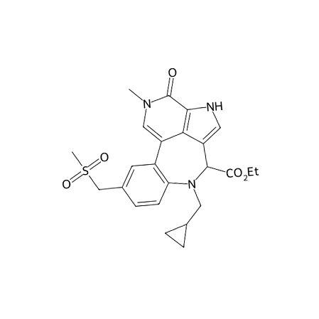 CCOC(=O)C1c2c[nH]c3c(=O)n(C)cc(c23)-c2cc(CS(C)(=O)=O)ccc2N1CC1CC1